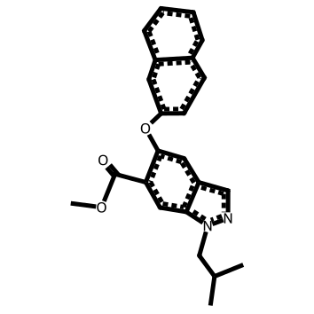 COC(=O)c1cc2c(cnn2CC(C)C)cc1Oc1ccc2ccccc2c1